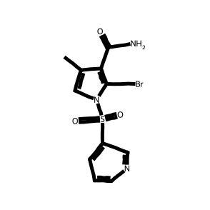 Cc1cn(S(=O)(=O)c2cccnc2)c(Br)c1C(N)=O